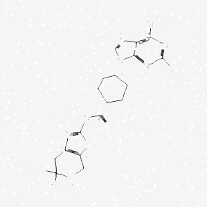 CC1(C)Cc2nc(NC(=O)[C@H]3CC[C@@H](n4cnc5c(N)nc(Cl)nc54)CC3)sc2CO1